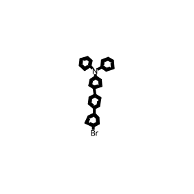 Brc1ccc(-c2ccc(-c3ccc(N(c4ccccc4)c4ccccc4)cc3)cc2)cc1